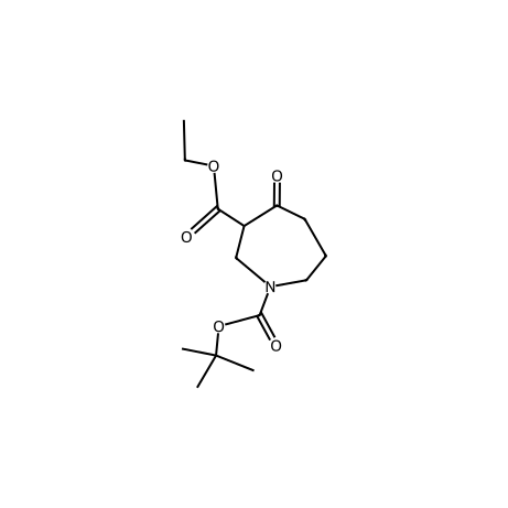 CCOC(=O)C1CN(C(=O)OC(C)(C)C)CCCC1=O